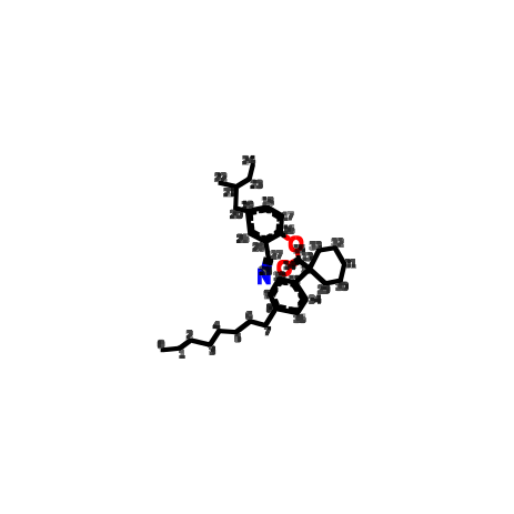 CCCCCCCCc1ccc(C2(C(=O)Oc3ccc(CC(C)CC)cc3C#N)CCCCC2)cc1